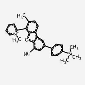 Cc1ccc2c(oc3c(C#N)cc(-c4ccc([Si](C)(C)C)cc4)cc32)c1-c1cccc[n+]1C